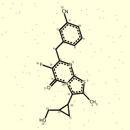 Cc1sc2nc(Cc3cccc(C#N)c3)c(F)c(=O)n2c1C1CC1CO